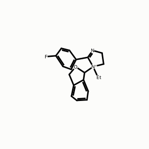 CC[N+]1(C2OCc3ccccc32)CCN=C1c1ccc(F)cc1